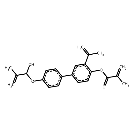 C=C(C)C(=O)Oc1ccc(-c2ccc(OC(O)C(=C)C)cc2)cc1C(=C)C